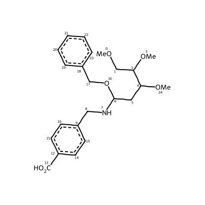 COCC(OC)C(CC(NCc1ccc(C(=O)O)cc1)OCc1ccccc1)OC